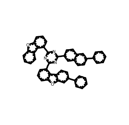 c1ccc(-c2ccc3cc(-c4nc(-c5cccc6oc7ccccc7c56)nc(-c5cccc6oc7cc(-c8ccccc8)ccc7c56)n4)ccc3c2)cc1